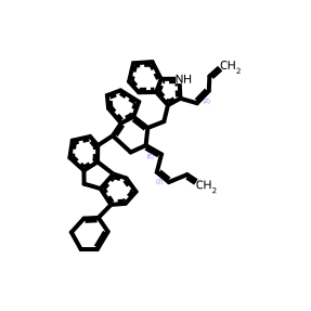 C=C/C=C\C=C1/CC(c2cccc3c2-c2cccc(C4=CCCC=C4)c2C3)=c2ccccc2=C1Cc1c(/C=C\C=C)[nH]c2ccccc12